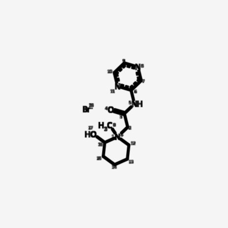 C[N+]1(CC(=O)Nc2cnccn2)CCCCC1O.[Br-]